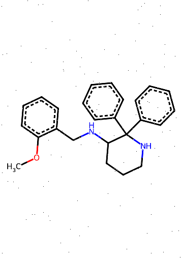 COc1ccccc1CNC1CCCNC1(c1ccccc1)c1ccccc1